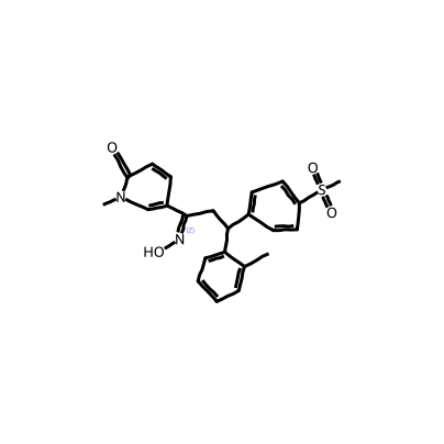 Cc1ccccc1C(C/C(=N/O)c1ccc(=O)n(C)c1)c1ccc(S(C)(=O)=O)cc1